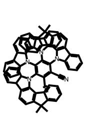 CC1(C)c2ccccc2-c2c1ccc1c2N(c2c(C#N)c(C#N)c(-n3c4ccccc4c4ccc5c(c43)-c3ccccc3C5(C)C)c(-n3c4ccccc4c4ccccc43)c2-n2c3ccccc3c3ccccc32)C2C=CC=CC12